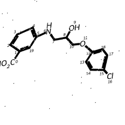 O=C(O)c1cccc(NCC(O)COc2ccc(Cl)cc2)c1